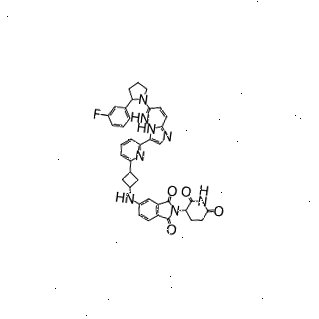 N=C(/C=C\c1ncc(-c2cccc(C3CC(Nc4ccc5c(c4)C(=O)N(C4CCC(=O)NC4=O)C5=O)C3)n2)[nH]1)N1CCCC1c1cccc(F)c1